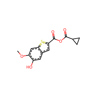 COc1cc2sc(C(=O)OC(=O)C3CC3)cc2cc1O